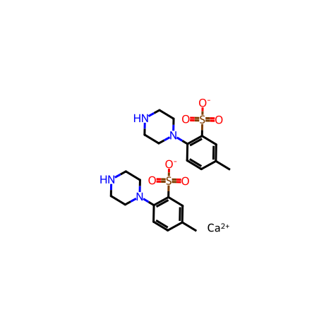 Cc1ccc(N2CCNCC2)c(S(=O)(=O)[O-])c1.Cc1ccc(N2CCNCC2)c(S(=O)(=O)[O-])c1.[Ca+2]